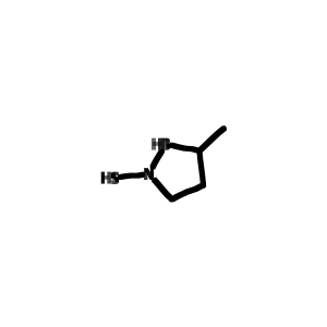 CC1BN(S)CC1